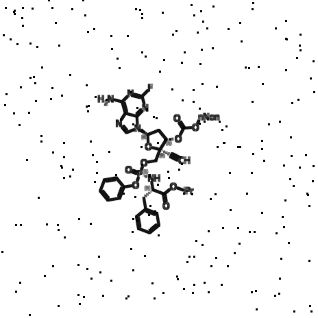 C#C[C@]1(CO[P@@](=O)(N[C@@H](Cc2ccccc2)C(=O)OC(C)C)Oc2ccccc2)O[C@@H](n2cnc3c(N)nc(F)nc32)C[C@@H]1OC(=O)OCCCCCCCCC